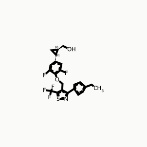 CCc1ccc(-c2nsc(C(F)(F)F)c2COc2c(F)cc([C@@H]3C[C@H]3CO)cc2F)cc1